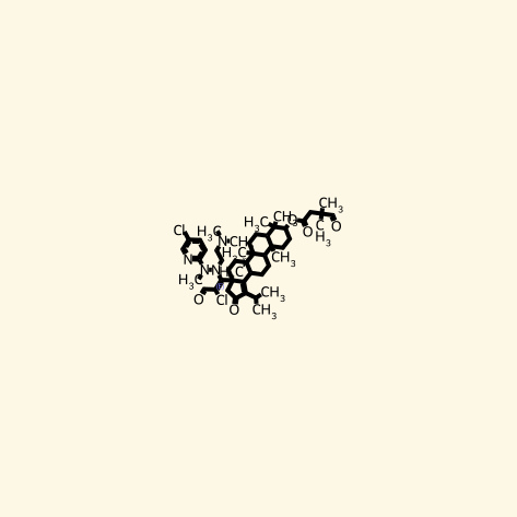 CC(C)C1=C2C3CCC4C5(C)CCC(OC(=O)CC(C)(C)C=O)C(C)(C)C5CCC4(C)[C@]3(C)CCC2(/C(=C(\Cl)C=O)N(CCN(C)C)N(C)c2ccc(Cl)cn2)CC1=O